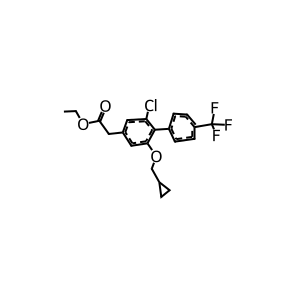 CCOC(=O)Cc1cc(Cl)c(-c2ccc(C(F)(F)F)cc2)c(OCC2CC2)c1